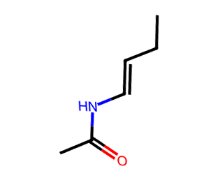 CCC=CNC(C)=O